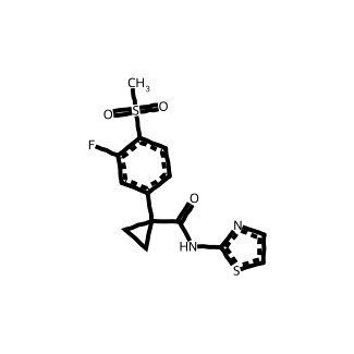 CS(=O)(=O)c1ccc(C2(C(=O)Nc3nccs3)CC2)cc1F